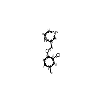 Cc1ccc(OCc2cnccn2)c(Cl)c1